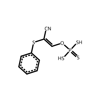 N#CC(=COP(=S)(S)S)Sc1ccccc1